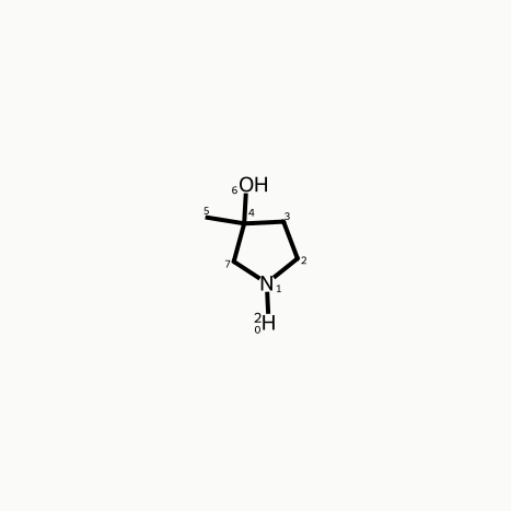 [2H]N1CCC(C)(O)C1